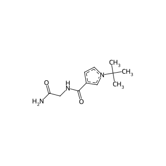 CC(C)(C)n1ccc(C(=O)NCC(N)=O)c1